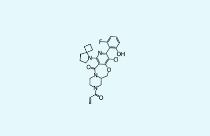 C=CC(=O)N1CCN2C(=O)c3c(N4CCCC45CCC5)nc(-c4c(O)cccc4F)c(Cl)c3OCC2C1